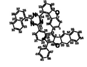 C1=C2c3c(-c4ccc5oc6cccc(-c7nc(-c8ccccc8)nc(-c8cccc9ccccc89)n7)c6c5c4)ccc(-c4ccccc4)c3OC2Cc2ccccc21